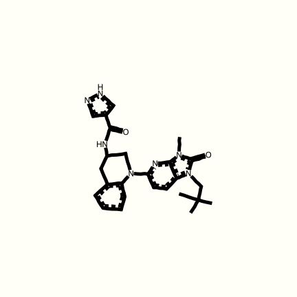 Cn1c(=O)n(CC(C)(C)C)c2ccc(N3CC(NC(=O)c4cn[nH]c4)Cc4ccccc43)nc21